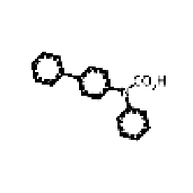 O=C(O)N(c1ccccc1)c1ccc(-c2cc[c]cc2)cc1